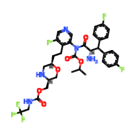 CC(C)OC(=O)N(C(=O)[C@@H](N)C(c1ccc(F)cc1)c1ccc(F)cc1)c1cncc(F)c1CC[C@@H]1CN[C@H](COC(=O)NCC(F)(F)F)CO1